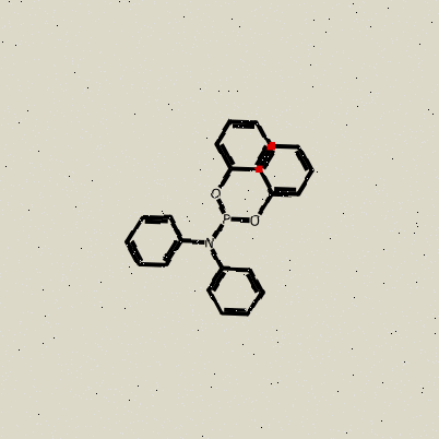 c1ccc(OP(Oc2ccccc2)N(c2ccccc2)c2ccccc2)cc1